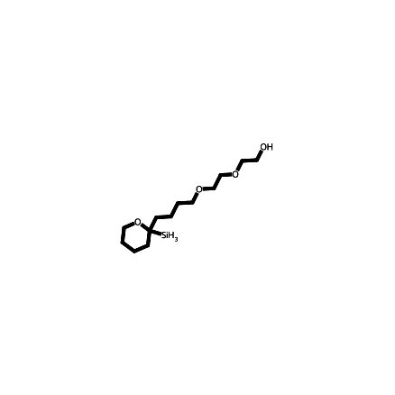 OCCOCCOCCCCC1([SiH3])CCCCO1